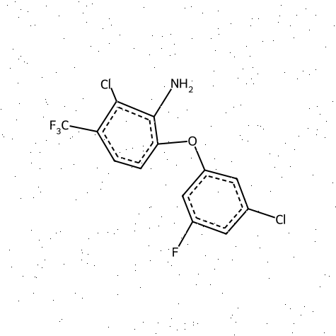 Nc1c(Oc2cc(F)cc(Cl)c2)ccc(C(F)(F)F)c1Cl